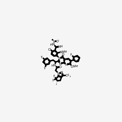 CNc1c(-n2c(C(Cc3cc(F)cc(F)c3)NC(=O)Cn3nc(C(F)(F)F)c4c3C(F)(F)[C@@H](C)C4)nc3nc(OC)c(-c4ccccc4F)cc3c2=O)ccc(Cl)c1C(=N)N[S+](C)[O-]